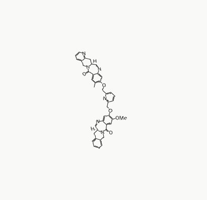 COc1cc2c(cc1OCc1cccc(COc3cc4c(cc3C)C(=O)N3Cc5cccnc5C[C@H]3C=N4)n1)N=C[C@@H]1Cc3ccccc3CN1C2=O